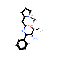 C[C@@H](O)[C@@H](N)C(NCCC1CCCN1C)c1ccccc1